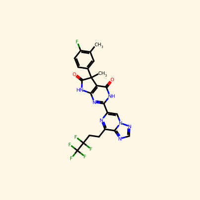 Cc1cc(C2(C)C(=O)Nc3nc(-c4cn5ncnc5c(CCC(F)(F)C(F)(F)F)n4)[nH]c(=O)c32)ccc1F